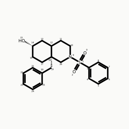 O=S(=O)(c1ccccc1)N1CCC2C[C@@H](O)CC[C@]2(Cc2ccccc2)C1